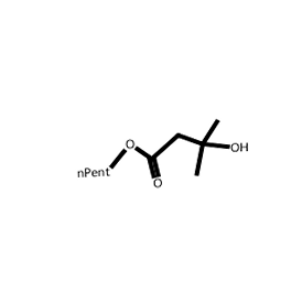 CCCCCOC(=O)CC(C)(C)O